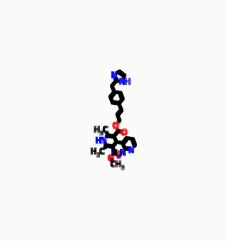 COC(=O)C1=C(C)NC(C)=C(C(=O)OCC=Cc2ccc(Cc3ncc[nH]3)cc2)C1c1cccnc1N